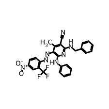 Cc1c(C#N)c(NCc2ccccc2)nc(Nc2ccccc2)c1N=Nc1ccc([N+](=O)[O-])cc1C(F)(F)F